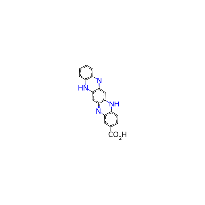 O=C(O)c1ccc2c(c1)N=c1cc3c(cc1N2)=Nc1ccccc1N3